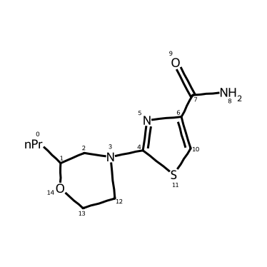 CCCC1CN(c2nc(C(N)=O)cs2)CCO1